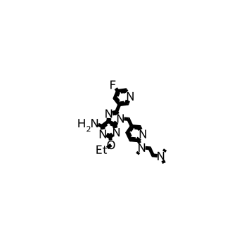 CCOc1nc(N)c2nc(-c3cncc(F)c3)n(Cc3ccc(N(C)CCN(C)C)nc3)c2n1